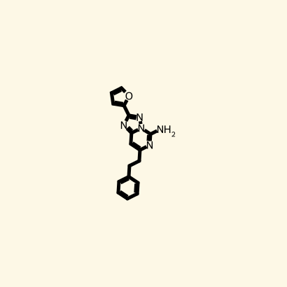 Nc1nc(CCc2ccccc2)cc2nc(-c3ccco3)nn12